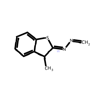 C=N/N=C1\Sc2ccccc2C1C